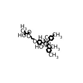 CC=C(O)C(=O)OCCCOc1ccc(-c2nc(-c3ccc(C)cc3C)nc(-c3ccc(C)cc3C)n2)c(O)c1